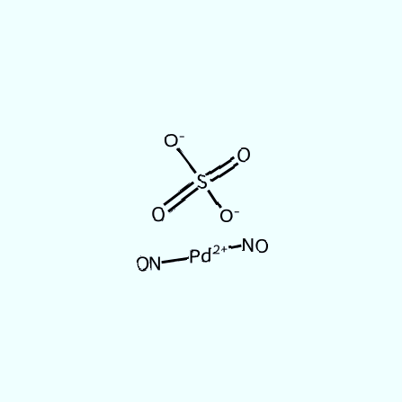 O=S(=O)([O-])[O-].O=[N][Pd+2][N]=O